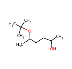 CC(O)CCC(C)OC(C)(C)C